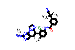 CNc1ncc2c(n1)N1CCN=C1C(c1c(C)ccc(NC(=O)c3cccc(C(C)(C)C#N)c3)c1F)=C2